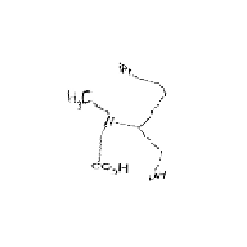 CC(C)CC(CO)N(C)C(=O)O